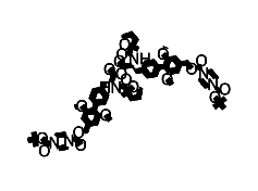 COc1cc(COC(=O)N2CCN(C(=O)OC(C)(C)C)CC2)cc(OC)c1-c1ccc(C[C@H](NC(=O)C2(C)CCCO2)C(=O)OC(=O)[C@H](Cc2ccc(-c3c(OC)cc(COC(=O)N4CCN(C(=O)OC(C)(C)C)CC4)cc3OC)cc2)NC(=O)C2(C)CCCO2)cc1